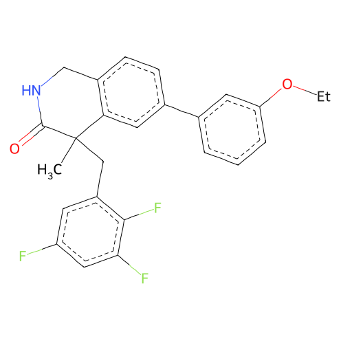 CCOc1cccc(-c2ccc3c(c2)C(C)(Cc2cc(F)cc(F)c2F)C(=O)NC3)c1